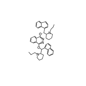 CCCN1CCCCC1C(Oc1nnc(O[C@H](c2cccc3ccccc23)C2CCCCN2CCC)c2ccccc12)c1cccc2ccccc12